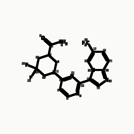 NC(=O)C1CN(c2ccnc(-c3cnc4ccc(C(F)(F)F)cn34)n2)CC(F)(F)C1